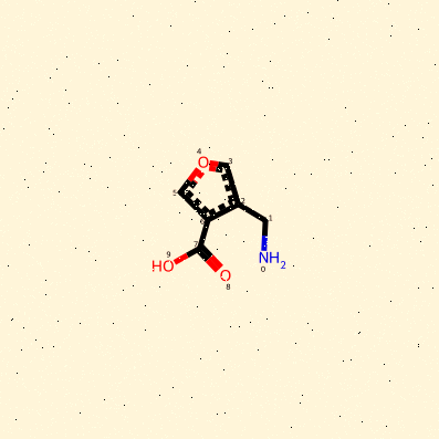 NCc1cocc1C(=O)O